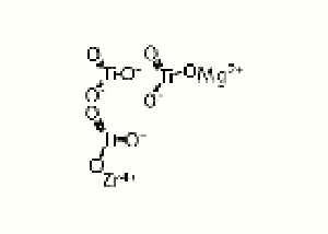 [Mg+2].[O]=[Ti]([O-])[O-].[O]=[Ti]([O-])[O-].[O]=[Ti]([O-])[O-].[Zr+4]